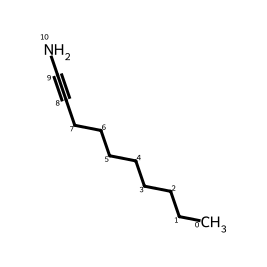 CCCCCCCCC#CN